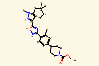 Cc1cc(C2CCN(C(=O)OC(C)(C)C)CC2)ccc1-c1noc(-c2nn(C)c3c2CCC(C)(C)C3)n1